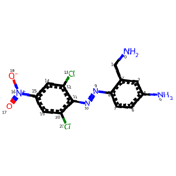 NCc1cc(N)ccc1N=Nc1c(Cl)cc([N+](=O)[O-])cc1Cl